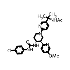 COc1ccc([C@@H]2CN(c3ccc(C(C)(C)NC(C)=O)cn3)CC[C@H]2NC(=O)Nc2ccc(Cl)cc2)nc1